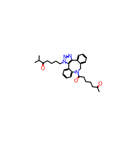 CC(=O)CCCCC(=O)N1Cc2ccccc2-c2nnn(CCCCC(=O)C(C)C)c2-c2ccccc21